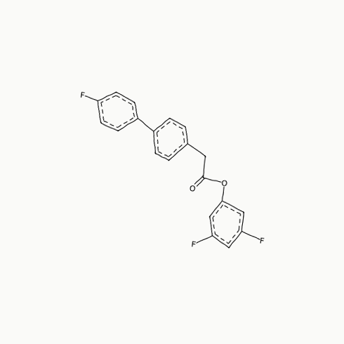 O=C(Cc1ccc(-c2ccc(F)cc2)cc1)Oc1cc(F)cc(F)c1